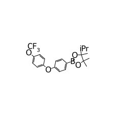 CC(C)C1(C)OB(c2ccc(Oc3ccc(OC(F)(F)F)cc3)cc2)OC1(C)C